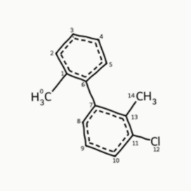 Cc1c[c]ccc1-c1cccc(Cl)c1C